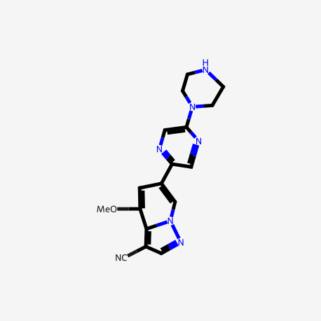 COc1cc(-c2cnc(N3CCNCC3)cn2)cn2ncc(C#N)c12